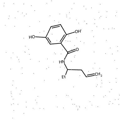 C=CCC(CC)NC(=O)c1cc(O)ccc1O